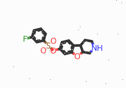 O=S(=O)(Oc1ccc2c(c1)OC1CNCCC21)c1cccc(F)c1